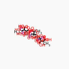 CC(C(=O)OC(=O)C(C)C(C)(C(=O)OCC(C(C(=O)O)C(C)C(=O)O)(P(=O)(O)O)P(=O)(O)O)C(P(=O)(O)O)P(=O)(O)O)C(C(=O)O)C(C)(P(=O)(O)O)P(=O)(O)O